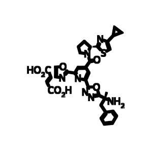 C[C@@](N)(Cc1ccccc1)c1nnc(-c2cc(C(=O)N3CCC[C@@H]3c3nc(C4CC4)cs3)cc(-c3ncco3)n2)o1.O=C(O)C=CC(=O)O